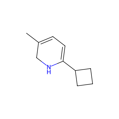 CC1=CC=C(C2CCC2)NC1